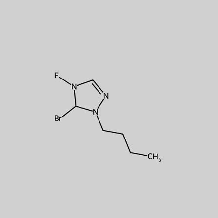 CCCCN1N=CN(F)C1Br